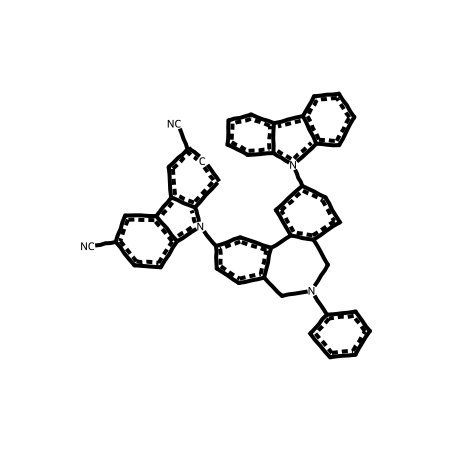 N#Cc1ccc2c(c1)c1cc(C#N)ccc1n2-c1ccc2c(c1)-c1cc(-n3c4ccccc4c4ccccc43)ccc1CN(c1ccccc1)C2